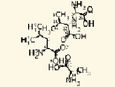 CC(C)C[C@H](N)C(=O)O.CC(C)[C@H](N)C(=O)O.C[C@H](N)C(=O)O.NCC(=O)O